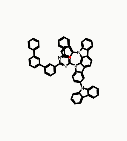 c1ccc(-c2cccc(-c3cccc(-c4nc(-c5ccccc5)nc(-n5c6ccc(-n7c8ccccc8c8ccccc87)cc6c6ccc7c8ccccc8n(-c8ccccc8)c7c65)n4)c3)c2)cc1